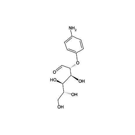 Nc1ccc(O[C@@H](C=O)[C@@H](O)[C@H](O)[C@H](O)CO)cc1